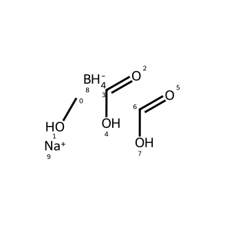 CO.O=CO.O=CO.[BH4-].[Na+]